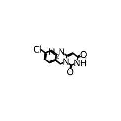 Nc1cc(=O)[nH]c(=O)n1Cc1ccc(Cl)cc1